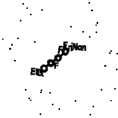 CCCCCCCCCc1ccc(-c2ccc(-c3ccc(C4CCC(OCC)CC4)cc3F)cc2)c(F)c1F